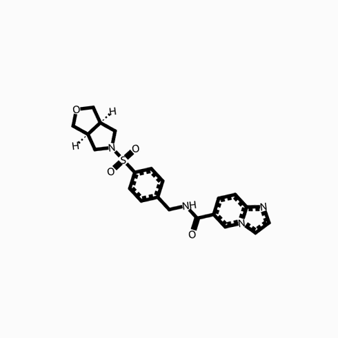 O=C(NCc1ccc(S(=O)(=O)N2C[C@H]3COC[C@H]3C2)cc1)c1ccc2nccn2c1